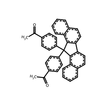 CC(=O)c1ccc(C2(c3ccc(C(C)=O)cc3)c3c(ccc4ccccc34)-c3ccc4ccccc4c32)cc1